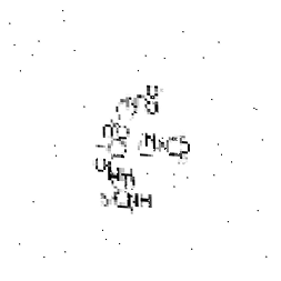 COC(CN1CCC(C2(C)Oc3c(-c4ccc(N5C[C@@H](C)O[C@@H](C)C5)nc4)cc(C(=O)NCc4c(SC)cc(C)[nH]c4=O)c(C)c3O2)CC1)OC